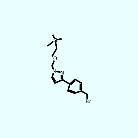 C[Si](C)(C)CCOCn1ccc(-c2ccc(CBr)cc2)n1